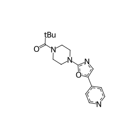 CC(C)(C)C(=O)N1CCN(c2ncc(-c3ccncc3)o2)CC1